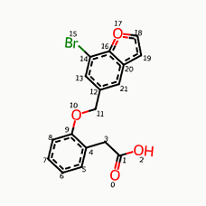 O=C(O)Cc1ccccc1OCc1cc(Br)c2occc2c1